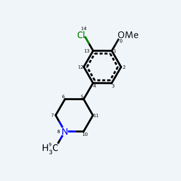 COc1ccc(C2CCN(C)CC2)cc1Cl